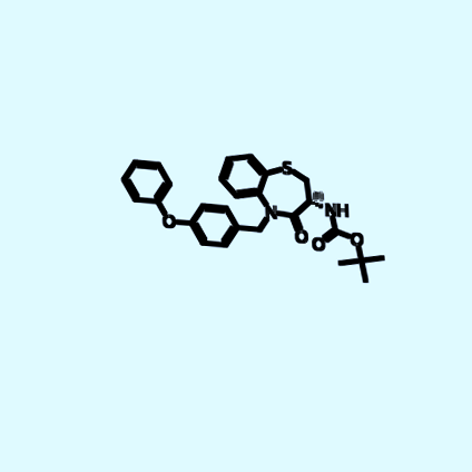 CC(C)(C)OC(=O)N[C@H]1CSc2ccccc2N(Cc2ccc(Oc3ccccc3)cc2)C1=O